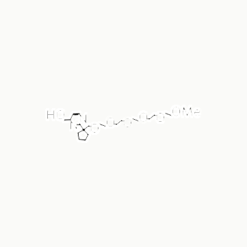 COCCOCCOCCOCCOCCOCC1(c2nccc(CO)n2)CCCC1